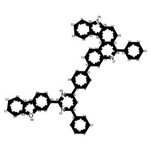 c1ccc(-c2cc(-c3ccc(-c4ccc5c(c4)nc(-c4ccccc4)c4ccc6sc7ccccc7c6c45)cc3)nc(-c3ccc4c(c3)oc3ccccc34)n2)cc1